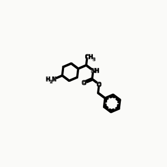 CC(NC(=O)OCc1ccccc1)C1CCC(N)CC1